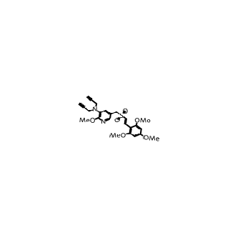 C#CCN(CC#C)c1cc(CS(=O)(=O)C=Cc2c(OC)cc(OC)cc2OC)cnc1OC